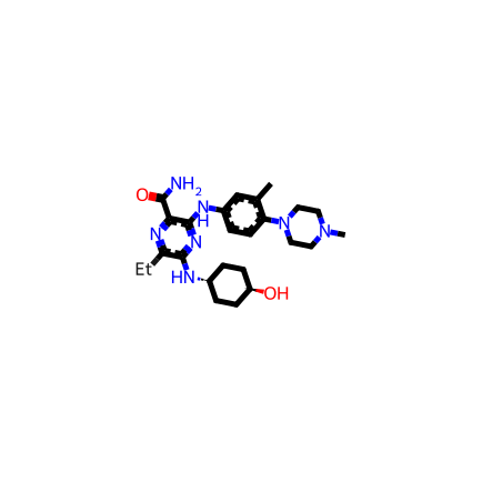 CCc1nc(C(N)=O)c(Nc2ccc(N3CCN(C)CC3)c(C)c2)nc1N[C@H]1CC[C@H](O)CC1